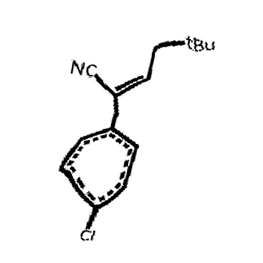 CC(C)(C)C/C=C(\C#N)c1ccc(Cl)cc1